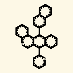 c1ccc(-c2c3ccccc3c(-c3ccc4ccccc4c3)c3c2cnc2ccccc23)nc1